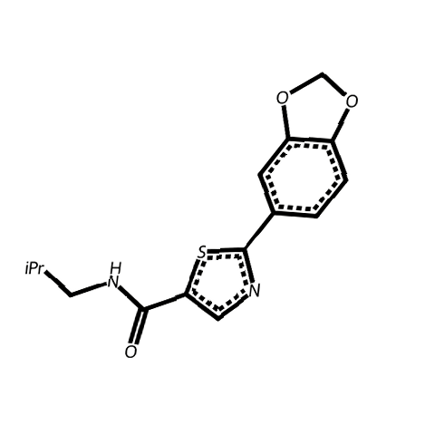 CC(C)CNC(=O)c1cnc(-c2ccc3c(c2)OCO3)s1